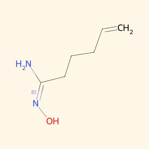 C=CCCC/C(N)=N\O